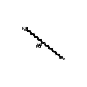 Cl.Cl.NCCCCCCCCSSCCCCCCCCN